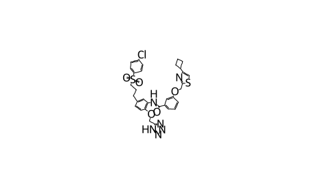 O=C(Nc1cc(CCCS(=O)(=O)c2ccc(Cl)cc2)ccc1OCc1nnn[nH]1)c1cccc(OCc2nc(C3CCC3)cs2)c1